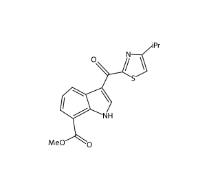 COC(=O)c1cccc2c(C(=O)c3nc(C(C)C)cs3)c[nH]c12